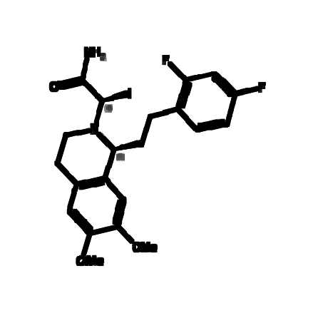 COc1cc2c(cc1OC)[C@H](CCc1ccc(F)cc1F)N([C@H](I)C(N)=O)CC2